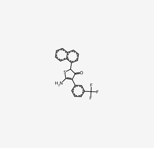 NC1=C(c2cccc(C(F)(F)F)c2)C(=O)C(c2cccc3ccccc23)S1